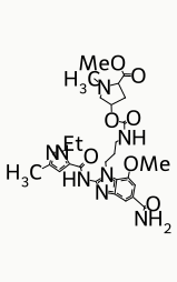 CCn1nc(C)cc1C(=O)Nc1nc2cc(C(N)=O)cc(OC)c2n1CCCNC(=O)OC1CC(C(=O)OC)N(C)C1